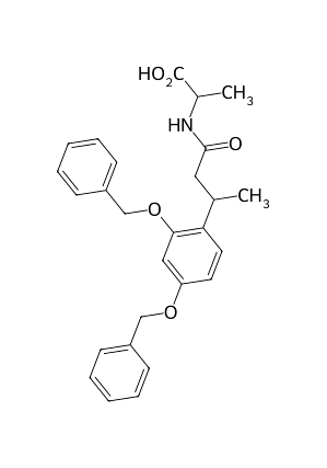 CC(NC(=O)CC(C)c1ccc(OCc2ccccc2)cc1OCc1ccccc1)C(=O)O